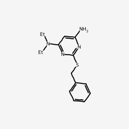 CCN(CC)c1cc(N)nc(SCc2ccccc2)n1